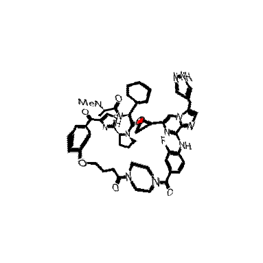 CN[C@@H](C)C(=O)N[C@H](C(=O)N1CCC[C@H]1c1nc(C(=O)c2cccc(OCCCC(=O)N3CCN(C(=O)c4ccc(Nc5nc(C6CC6)cn6c(-c7cn[nH]c7)cnc56)c(F)c4)CC3)c2)cs1)C1CCCCC1